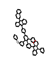 C1=CC2=C(c3cccc(-c4c(-c5ccccc5)cc(-c5ccc(-c6c7ccccc7c(-c7ccc8ccccc8c7)c7ccccc67)cc5)cc4-c4cccc(Oc5ccccc5)c4)c3)c3ccccc3C(c3ccccc3)C2C=C1